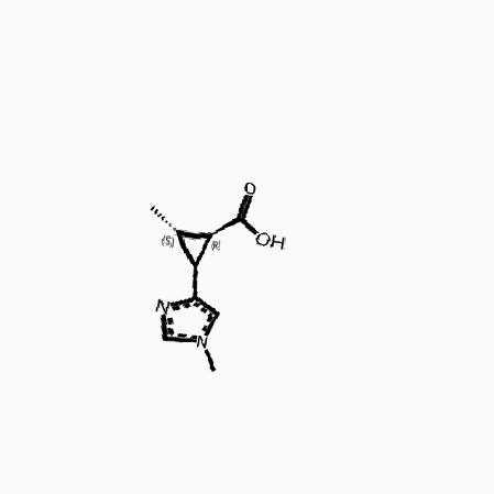 C[C@H]1C(c2cn(C)cn2)[C@@H]1C(=O)O